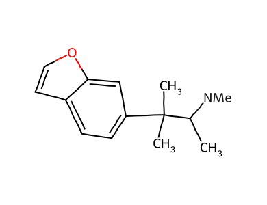 CNC(C)C(C)(C)c1ccc2ccoc2c1